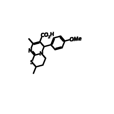 COc1ccc(C2C(C(=O)O)=C(C)N=C3SC(C)CCN32)cc1